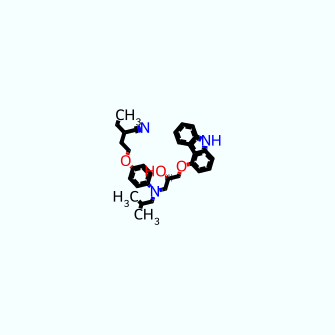 CCC(C#N)CCOc1ccc(N(CC(C)C)C[C@H](O)COc2cccc3[nH]c4ccccc4c23)cc1